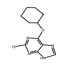 Clc1nc(OC2CCCCC2)c2nc[nH]c2n1